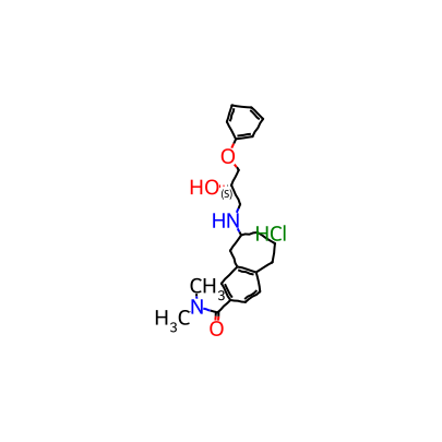 CN(C)C(=O)c1ccc2c(c1)CC(NC[C@H](O)COc1ccccc1)CCC2.Cl